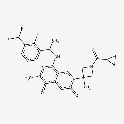 CC(Nc1nn(C)c(=O)c2cc(=O)n(C3(C)CN(C(=O)C4CC4)C3)cc12)c1cccc(C(F)F)c1F